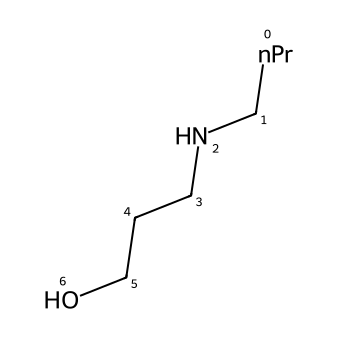 CCCCNCCCO